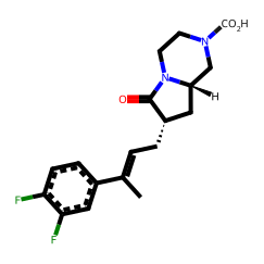 C/C(=C\C[C@H]1C[C@H]2CN(C(=O)O)CCN2C1=O)c1ccc(F)c(F)c1